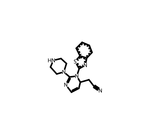 N#CCC1C=CN=C(N2CCNCC2)N1c1nc2ccccc2s1